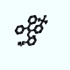 Cc1cccnc1CC(=C(c1ccccc1)c1ccccc1)c1cccc(C(F)(F)F)c1